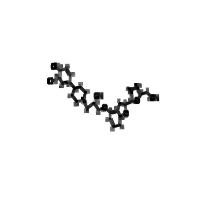 OCc1nnc(-c2cc3c(OC[C@@H](O)CN4CCC(c5ccc(Cl)c(Cl)c5)CC4)cccc3o2)o1